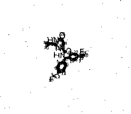 O=C(NC(c1ccc(OCF)cc1)c1ccc(C(F)(F)F)cc1)c1cc(=O)[nH]c(C2CC2)n1